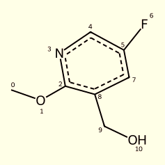 COc1ncc(F)cc1CO